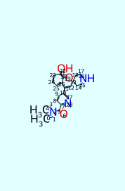 CCN(CC)C(=O)c1ccc(C2=CC3(CCNCC3)Oc3c(O)cccc32)cn1